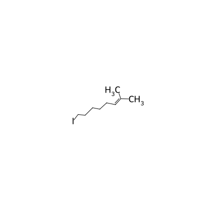 CC(C)=CCCCCCI